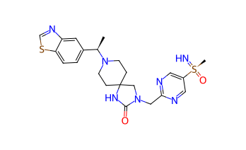 C[C@H](c1ccc2scnc2c1)N1CCC2(CC1)CN(Cc1ncc([S@](C)(=N)=O)cn1)C(=O)N2